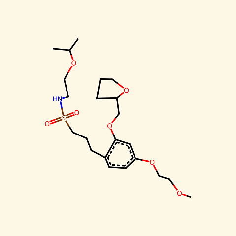 COCCOc1ccc(CCCS(=O)(=O)NCCOC(C)C)c(OCC2CCCO2)c1